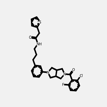 O=C(Cc1cccs1)NCCCc1cccc(N2CC3CN(C(=O)c4c(F)cccc4Cl)CC3C2)c1